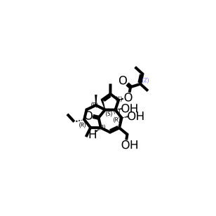 C/C=C(/C)C(=O)O[C@H]1C(C)=C[C@]23C(=O)[C@@H](C=C(CO)[C@@H](O)[C@]12O)C(C)[C@H](CC)C[C@H]3C